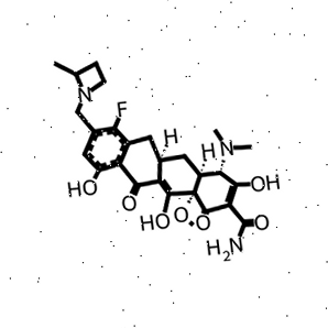 CO[C@@]12C(=O)C(C(N)=O)=C(O)[C@@H](N(C)C)[C@@H]1C[C@@H]1Cc3c(F)c(CN4CCC4C)cc(O)c3C(=O)C1=C2O